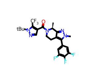 C[C@H]1c2nn(C)c(-c3cc(F)c(F)c(F)c3)c2CCN1C(=O)c1cnn(C(C)(C)C)c1C(F)(F)F